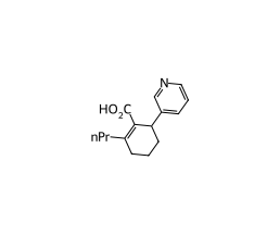 CCCC1=C(C(=O)O)C(c2cccnc2)CCC1